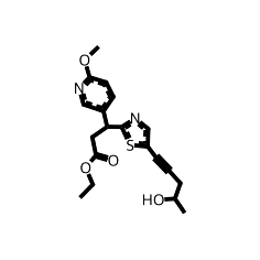 CCOC(=O)CC(c1ccc(OC)nc1)c1ncc(C#CCC(C)O)s1